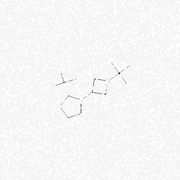 CC(C)(C)N1CC(N2CCC[C@@H]2C(F)(F)F)C1